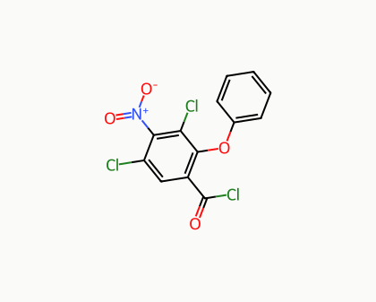 O=C(Cl)c1cc(Cl)c([N+](=O)[O-])c(Cl)c1Oc1ccccc1